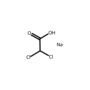 O=C(O)C(Cl)Cl.[Na]